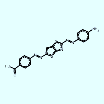 Nc1ccc(N=Nc2nc3sc(N=Nc4ccc(C(=O)O)cc4)cc3s2)cc1